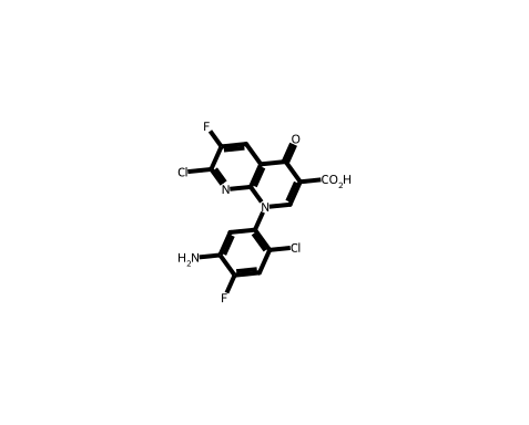 Nc1cc(-n2cc(C(=O)O)c(=O)c3cc(F)c(Cl)nc32)c(Cl)cc1F